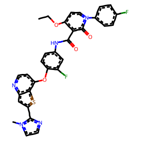 CCOc1ccn(-c2ccc(F)cc2)c(=O)c1C(=O)Nc1ccc(Oc2ccnc3cc(-c4nccn4C)sc23)c(F)c1